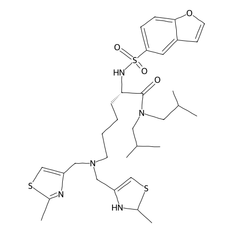 Cc1nc(CN(CCCC[C@H](NS(=O)(=O)c2ccc3occc3c2)C(=O)N(CC(C)C)CC(C)C)CC2=CSC(C)N2)cs1